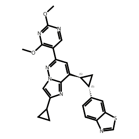 COc1ncc(-c2cc([C@H]3C[C@@H]3c3ccc4ncsc4c3)c3nc(C4CC4)cn3n2)c(OC)n1